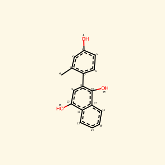 Cc1cc(O)ccc1-c1cc(O)c2ccccc2c1O